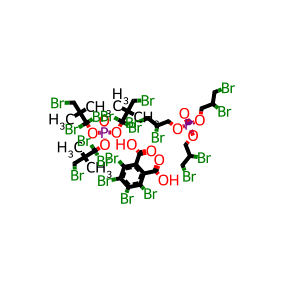 CC(C)(CBr)C(Br)(Br)OP(=O)(OC(Br)(Br)C(C)(C)CBr)OC(Br)(Br)C(C)(C)CBr.O=C(O)c1c(Br)c(Br)c(Br)c(Br)c1C(=O)O.O=P(OCC(Br)CBr)(OCC(Br)CBr)OCC(Br)CBr